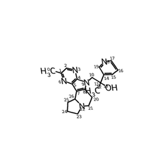 Cc1cnc2c(n1)c1c(n2CC(C)(O)c2cccnc2)CCN2CCCC12